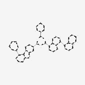 c1ccc(-c2nc(-c3ccc4c(c3)sc3cccc(-c5ccccc5)c34)nc(-c3cccc4c(-c5cccc6ccccc56)cccc34)n2)cc1